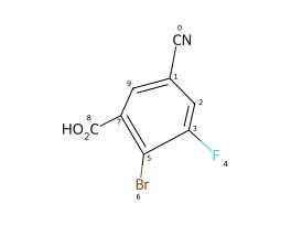 N#Cc1cc(F)c(Br)c(C(=O)O)c1